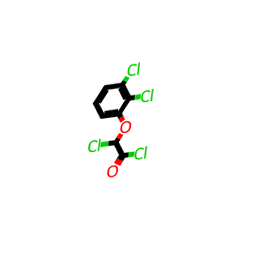 O=C(Cl)C(Cl)Oc1cccc(Cl)c1Cl